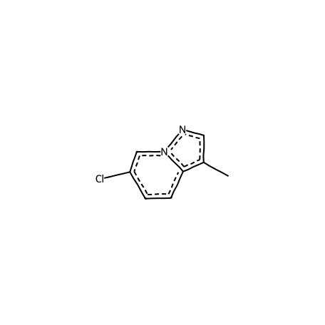 Cc1cnn2cc(Cl)ccc12